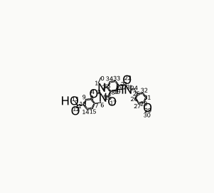 CCn1c(=O)n(Cc2ccc(C(=O)O)cc2)c(=O)c2cc(C(=O)NCc3ccc(OC)cc3)ccc21